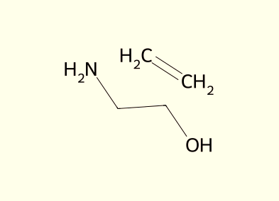 C=C.NCCO